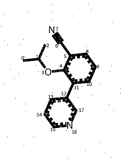 CC(C)Oc1c(C#N)cccc1-c1cccnc1